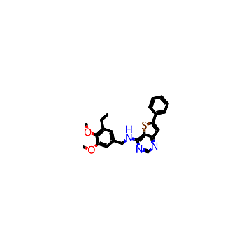 CCc1cc(CNc2ncnc3cc(-c4ccccc4)sc23)cc(OC)c1OC